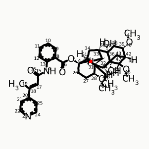 CCN1C[C@]2(OC(=O)c3ccccc3NC(=O)/C=C(\C)c3ccncc3)CC[C@H](OC)[C@]34C1[C@@H](C[C@H]23)[C@@]1(O)C[C@H](OC)[C@H]2C[C@@H]4[C@]1(O)[C@H]2OC